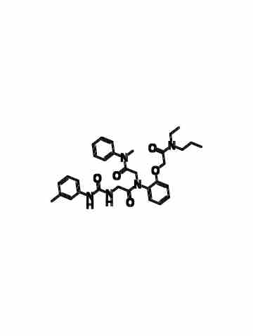 CCCN(CC)C(=O)COc1ccccc1N(CC(=O)N(C)c1ccccc1)C(=O)CNC(=O)Nc1cccc(C)c1